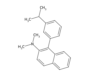 CC(C)c1cccc(-c2c(N(C)C)ccc3ccccc23)c1